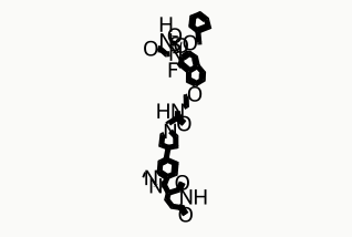 Cn1nc(C2CCC(=O)NC2=O)c2ccc(C3CCN(CC(=O)NCCOc4ccc5cc(OCc6ccccc6)c(N6CC(=O)NS6(=O)=O)c(F)c5c4)CC3)cc21